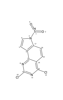 O=[SH](=O)n1ccc2c3nc(Cl)nc(Cl)c3ccc21